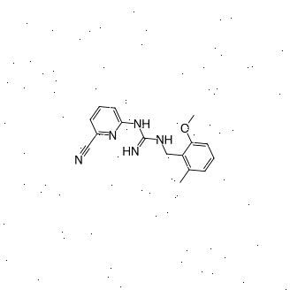 COc1cccc(C)c1CNC(=N)Nc1cccc(C#N)n1